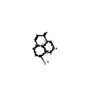 O=C1C=Cc2ccc(O)c3cccc1c23